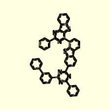 c1ccc(-c2cccc(-c3nc(-c4ccccc4)nc(-c4ccc5c(c4)sc4c(-c6nc(-c7ccccc7)nc7c6sc6ccccc67)cccc45)n3)c2)cc1